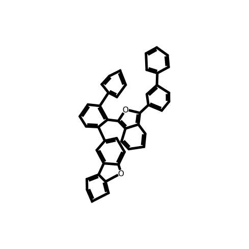 c1ccc(-c2cccc(-c3oc(-c4c(-c5ccccc5)cccc4-c4ccc5oc6ccccc6c5c4)c4ccccc34)c2)cc1